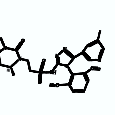 COc1cccc(OC)c1-n1c(NS(=O)(=O)CCN2C(=O)N(C)CC[C@@H]2C)nnc1-c1cncc(C)c1